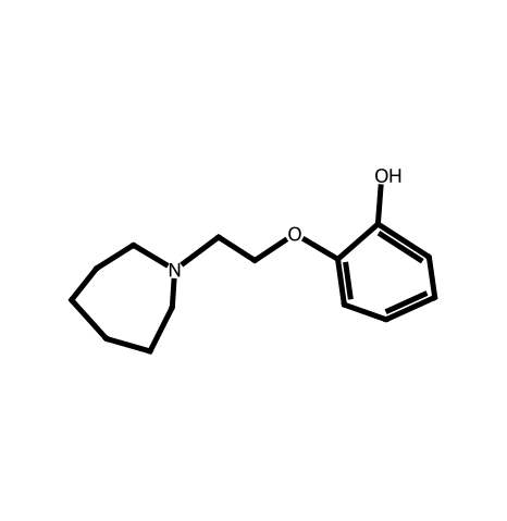 Oc1ccccc1OCCN1CCCCCC1